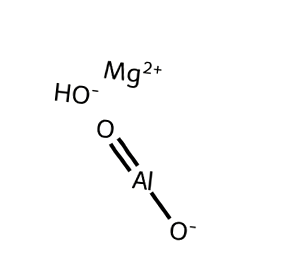 [Mg+2].[OH-].[O]=[Al][O-]